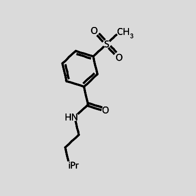 CC(C)CCNC(=O)c1cccc(S(C)(=O)=O)c1